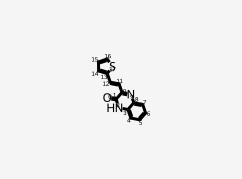 O=c1[nH]c2ccccc2nc1/C=C/c1cccs1